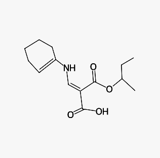 CCC(C)OC(=O)C(=CNC1=CCCCC1)C(=O)O